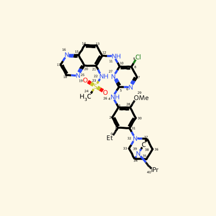 CCc1cc(Nc2ncc(Cl)c(Nc3ccc4nccnc4c3NS(C)(=O)=O)n2)c(OC)cc1N1CC2CCC1CN2C(C)C